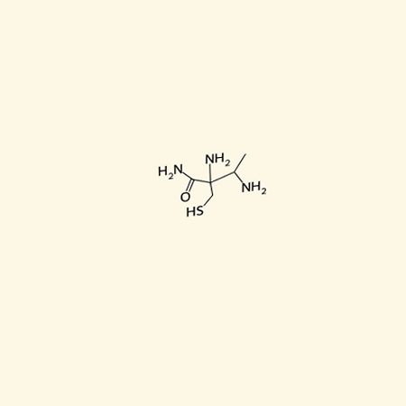 CC(N)C(N)(CS)C(N)=O